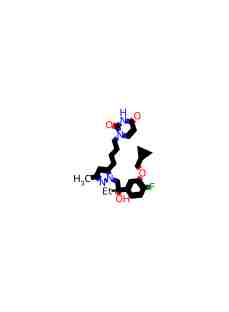 CC[C@@](O)(Cn1nc(C)cc1CCCCn1ccc(=O)[nH]c1=O)c1ccc(F)c(OCC2CC2)c1